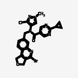 Cn1cc(N(Cc2ccc3c4c(c(Br)nc3c2)COC4)C(=O)c2cnc(C3CC3)nc2)c(Cl)n1